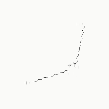 CCCCCCCCCCCCCCC(C)O[PH](=O)OC(C)CCCCCCCCCCCCCC